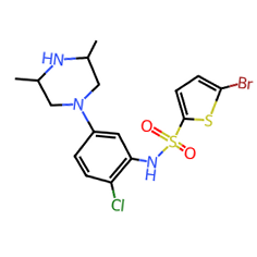 CC1CN(c2ccc(Cl)c(NS(=O)(=O)c3ccc(Br)s3)c2)CC(C)N1